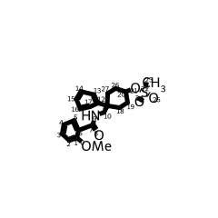 COc1ccccc1C(=O)NCC1(c2ccccc2)CCC(OS(C)(=O)=O)CC1